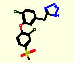 CS(=O)(=O)c1ccc(Oc2cc(Cc3nnn[nH]3)ccc2Cl)c(Cl)c1